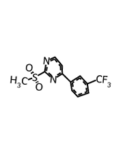 CS(=O)(=O)c1nccc(-c2cccc(C(F)(F)F)c2)n1